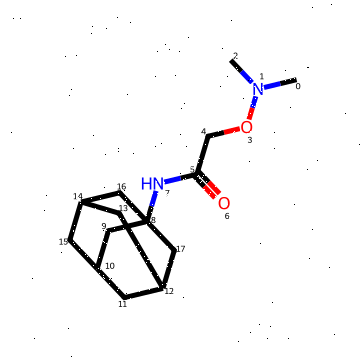 CN(C)OCC(=O)NC12CC3CC(CC(C3)C1)C2